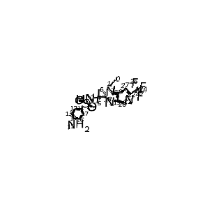 CCn1c(C(C)(C)NS(=O)(=O)c2ccc(N)cc2)nc2cnc(C(F)(F)F)cc21